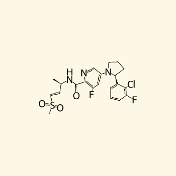 C[C@H](/C=C/S(C)(=O)=O)NC(=O)c1ncc(N2CCC[C@H]2c2cccc(F)c2Cl)cc1F